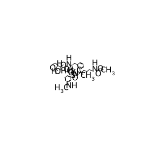 CNc1cccc(S(=O)(=O)N(C[C@@H](O)[C@H](Cc2ccccc2)NC(=O)O[C@H]2CO[C@H]3OCC[C@H]32)CC(C)(C)CCCCNC(=O)OC)c1